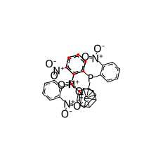 O=[N+]([O-])c1ccccc1P(c1ccccc1[N+](=O)[O-])[C]12[CH]3[CH]4[CH]5[C]1(P(c1ccccc1[N+](=O)[O-])c1ccccc1[N+](=O)[O-])[Fe]43521678[CH]2[CH]1[CH]6[CH]7[CH]28